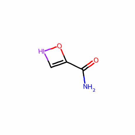 NC(=O)C1=C[IH]O1